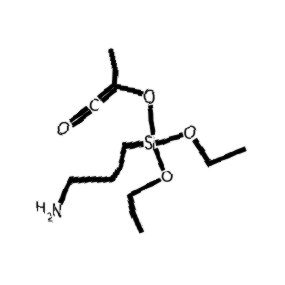 CCO[Si](CCCN)(OCC)OC(C)=C=O